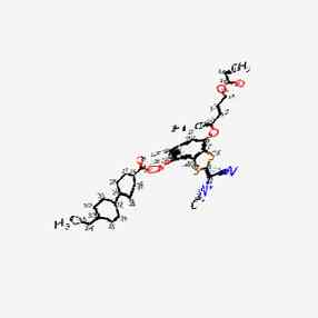 [C-]#[N+]/C(C#N)=C1/Sc2c(OC(=C)CCCOC(=O)C=C)ccc(OC(=O)C3CCC(C4CCC(CC)CC4)CC3)c2S1